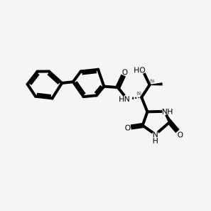 C[C@H](O)[C@@H](NC(=O)c1ccc(-c2ccccc2)cc1)C1NC(=O)NC1=O